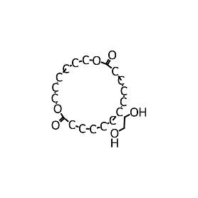 O=C1CCCCCCCCCCC(=O)OCCCCCCO1.OCCO